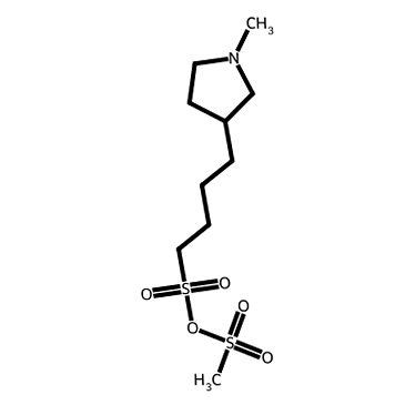 CN1CCC(CCCCS(=O)(=O)OS(C)(=O)=O)C1